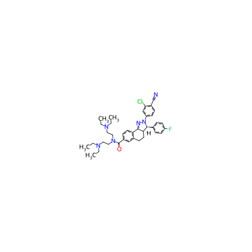 CCN(CC)CCN(CCN(CC)CC)C(=O)c1ccc2c(c1)CC[C@H]1C2=NN(c2ccc(C#N)c(Cl)c2)[C@H]1c1ccc(F)cc1